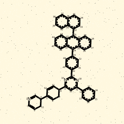 C1=CN=CC(C2=CCC(c3cc(-c4ccccc4)nc(-c4ccc(-c5c6ccccc6c(-c6cccc7ccccc67)c6ccccc56)cc4)n3)C=C2)C1